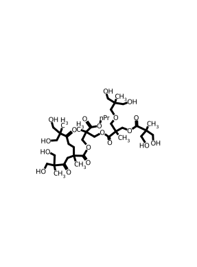 CCCOC(=O)C(C)(COC(=O)C(C)(COCC(C)(CO)CO)COC(=O)C(C)(CO)CO)COC(=O)C(C)(CCC(=O)C(C)(CO)CO)CC(=O)C(C)(CO)CO